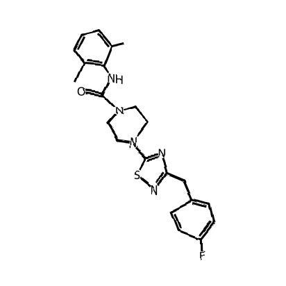 Cc1cccc(C)c1NC(=O)N1CCN(c2nc(Cc3ccc(F)cc3)ns2)CC1